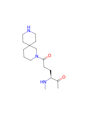 CN[C@@H](CCC(=O)N1CCCC2(CCNCC2)C1)C(C)=O